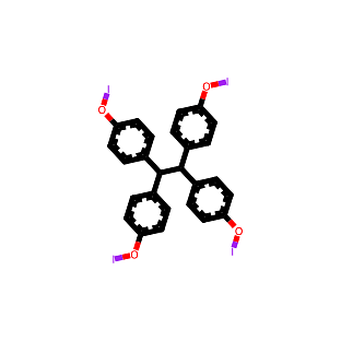 IOc1ccc(C(c2ccc(OI)cc2)C(c2ccc(OI)cc2)c2ccc(OI)cc2)cc1